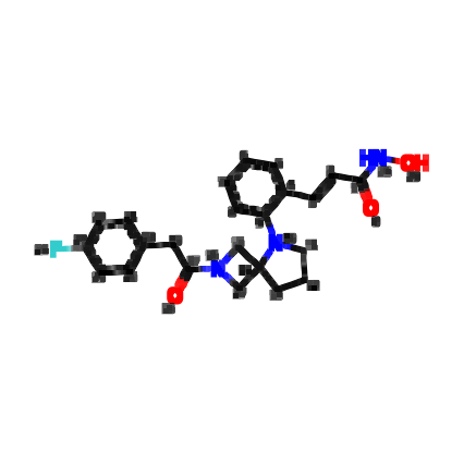 O=C(C=Cc1ccccc1N1CCCC12CN(C(=O)Cc1ccc(F)cc1)C2)NO